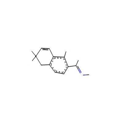 C/N=C(\C)c1ccc2c(c1C)C=CC(C)(C)C2